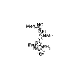 CC/C(=C\C(=C/Cc1cc(N(C)C2CCOCC2)c2cnn(C(C)C)c2n1)NC)OC[C@H](CNC)N=O